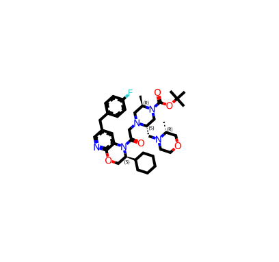 C[C@@H]1COCCN1C[C@H]1CN(C(=O)OC(C)(C)C)[C@H](C)CN1CC(=O)N1c2cc(Cc3ccc(F)cc3)cnc2OC[C@@H]1C1CCCCC1